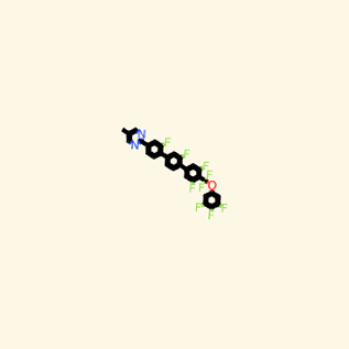 Cc1cnc(-c2ccc(-c3ccc(-c4cc(F)c(C(F)(F)Oc5cc(F)c(F)c(F)c5)c(F)c4)c(F)c3)c(F)c2)nc1